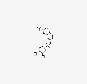 CC(C)(C)c1ccc2ccc(CC(C)(C)c3ccc(Cl)c(Cl)c3)cc2c1